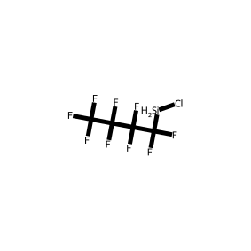 FC(F)(F)C(F)(F)C(F)(F)C(F)(F)[SiH2]Cl